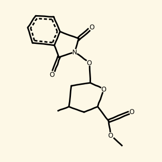 COC(=O)C1CC(C)CC(ON2C(=O)c3ccccc3C2=O)O1